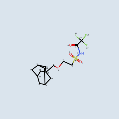 O=C(NS(=O)(=O)CCOCC12CC3CC(CC(C3)C1)C2)C(F)(F)F